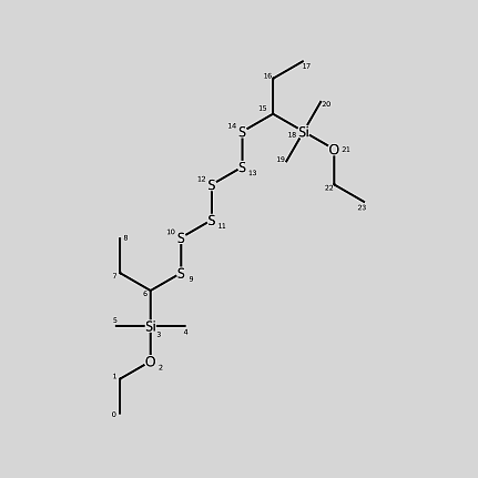 CCO[Si](C)(C)C(CC)SSSSSSC(CC)[Si](C)(C)OCC